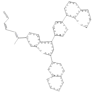 C=C/C=C\C=C(/C)c1ccc2c(-c3ccc(-c4cccc5cccnc45)cc3)cc(-c3ccc4ccccc4c3)nc2c1